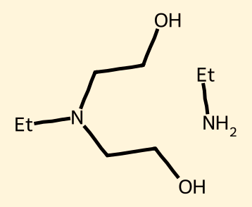 CCN.CCN(CCO)CCO